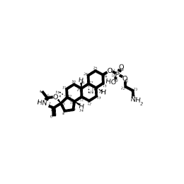 C=C(C)[C@@]1(OC(C)=N)CC[C@H]2C3CC[C@@H]4CC(OP(=O)(O)OCCN)CC[C@]4(C)[C@H]3CC[C@@]21C